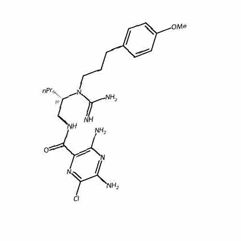 CCC[C@@H](CNC(=O)c1nc(Cl)c(N)nc1N)N(CCCc1ccc(OC)cc1)C(=N)N